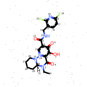 CCN1C(=O)c2c(O)c(=O)c(C(=O)NCc3ccc(F)nc3F)cn2N2CCCC[C@@H]12